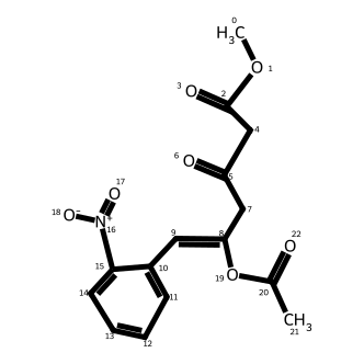 COC(=O)CC(=O)CC(=Cc1ccccc1[N+](=O)[O-])OC(C)=O